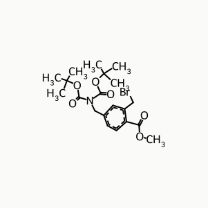 COC(=O)c1ccc(CN(C(=O)OC(C)(C)C)C(=O)OC(C)(C)C)cc1CBr